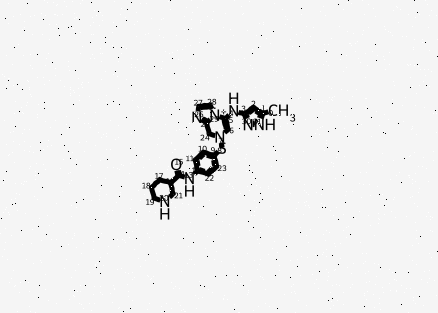 Cc1cc(NC2=CN(Sc3ccc(NC(=O)C4CCCNC4)cc3)CC3=NC=C[N+]23)n[nH]1